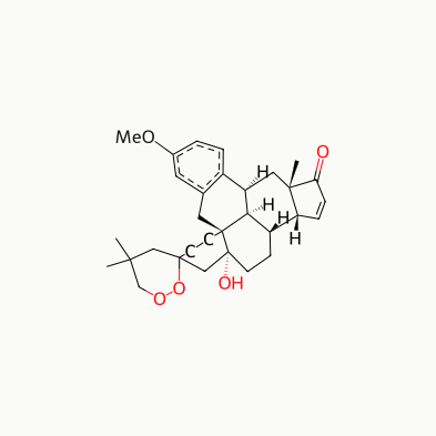 COc1ccc2c(c1)C[C@]13CCC4(CC(C)(C)COO4)C[C@]1(O)CC[C@@H]1[C@@H]3[C@@H]2C[C@]2(C)C(=O)C=C[C@H]12